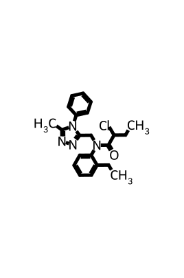 CCc1ccccc1N(Cc1nnc(C)n1-c1ccccc1)C(=O)C(Cl)CC